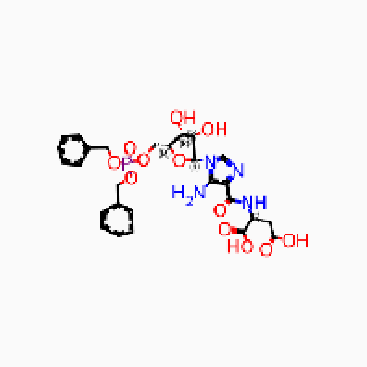 Nc1c(C(=O)N[C@@H](CC(=O)O)C(=O)O)ncn1[C@@H]1O[C@H](COP(=O)(OCc2ccccc2)OCc2ccccc2)[C@H](O)[C@H]1O